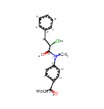 COC(=O)c1ccc(N(C)C(=O)[C@H](Cl)Cc2ccccc2)cc1